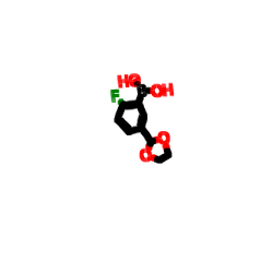 OB(O)c1cc(C2OCCO2)ccc1F